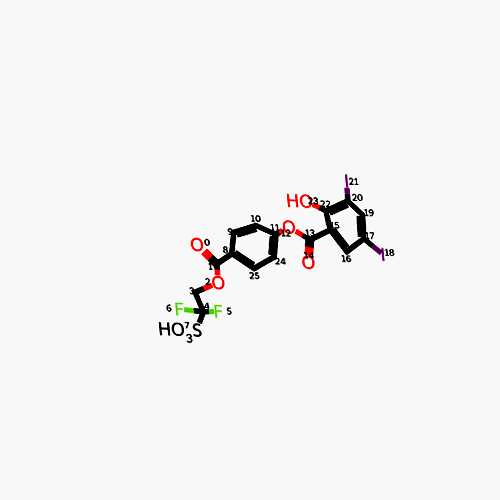 O=C(OCC(F)(F)S(=O)(=O)O)c1ccc(OC(=O)c2cc(I)cc(I)c2O)cc1